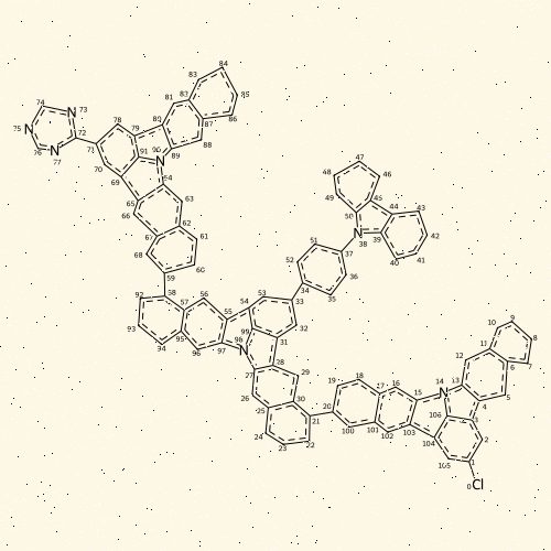 Clc1cc2c3cc4ccccc4cc3n3c4cc5ccc(-c6cccc7cc8c(cc67)c6cc(-c7ccc(-n9c%10ccccc%10c%10ccccc%109)cc7)cc7c9cc%10c(-c%11ccc%12cc%13c(cc%12c%11)c%11cc(-c%12ncncn%12)cc%12c%14cc%15ccccc%15cc%14n%13c%12%11)cccc%10cc9n8c67)cc5cc4c(c1)c23